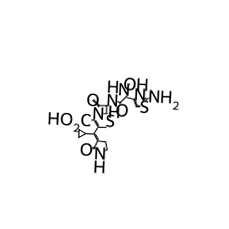 Nc1nc(C(=NO)C(=O)N[C@@H]2C(=O)N3C(C(=O)O)=C(C(=C4CCNC4=O)C4CC4)CS[C@H]23)cs1